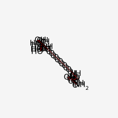 CC(C)[C@H](NC(=O)[C@@H](C)CCC(=O)NCCOCCOCCOCCOCCOCCOCCOCCOCCOCCOCCOCCOCCC(=O)NCCN(C[C@H](O)[C@@H](O)[C@H](O)[C@H](O)CO)C[C@H](O)[C@@H](O)[C@H](O)[C@H](O)CO)C(=O)N[C@@H](CCCNC(N)=O)C(=O)Nc1ccc(CO)cc1